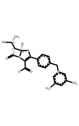 Cc1cc(C)c[n+](Cc2ccc(C3=C(C(=O)[O-])N4C(=O)[C@H]([C@@H](C)O)[C@H]4S3)cc2)c1